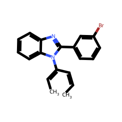 C/C=C\C(=C/C)n1c(-c2cccc(Br)c2)nc2ccccc21